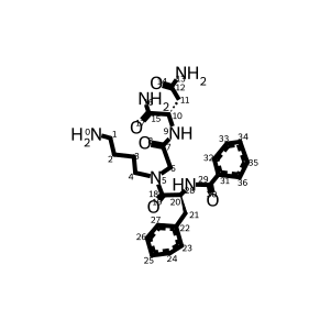 NCCCCN(CC(=O)N[C@@H](CC(N)=O)C(N)=O)C(=O)[C@H](Cc1ccccc1)NC(=O)c1ccccc1